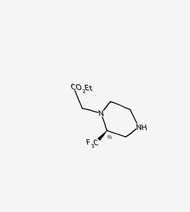 CCOC(=O)CN1CCNC[C@H]1C(F)(F)F